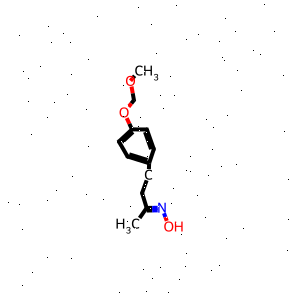 COCOc1ccc(CCC(C)=NO)cc1